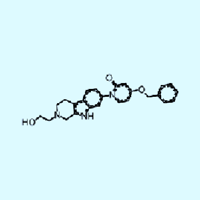 O=c1cc(OCc2ccccc2)ccn1-c1ccc2c3c([nH]c2c1)CN(CCO)CC3